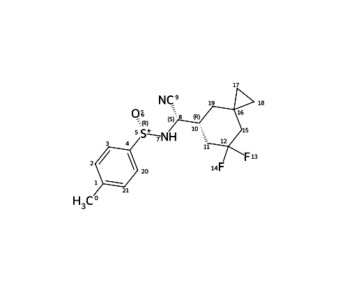 Cc1ccc([S@+]([O-])N[C@H](C#N)[C@H]2CC(F)(F)CC3(CC3)C2)cc1